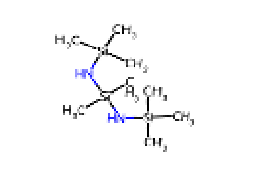 C[Si](C)(C)N[Si](C)(C)N[Si](C)(C)C